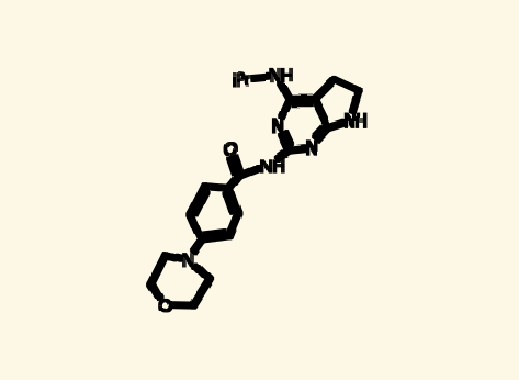 CC(C)Nc1nc(NC(=O)c2ccc(N3CCOCC3)cc2)nc2c1CCN2